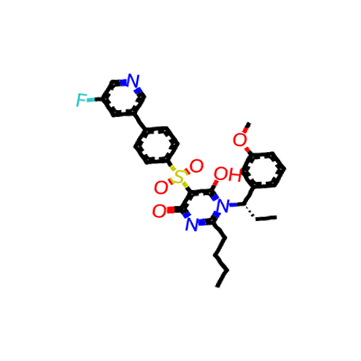 CCCCc1nc(=O)c(S(=O)(=O)c2ccc(-c3cncc(F)c3)cc2)c(O)n1[C@@H](CC)c1cccc(OC)c1